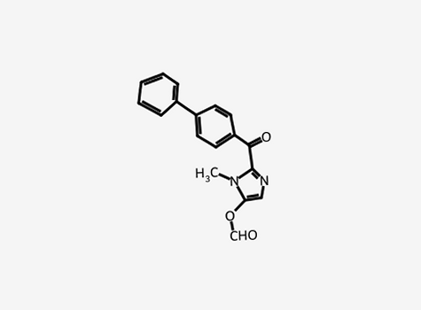 Cn1c(OC=O)cnc1C(=O)c1ccc(-c2ccccc2)cc1